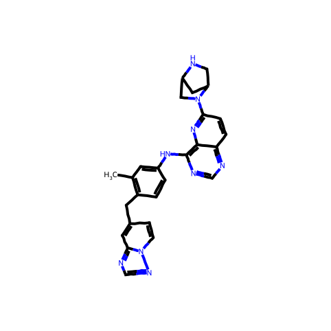 Cc1cc(Nc2ncnc3ccc(N4CC5CC4CN5)nc23)ccc1Cc1ccn2ncnc2c1